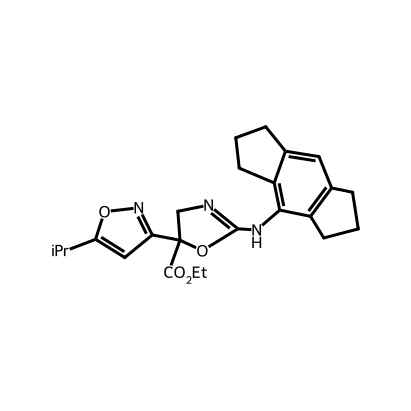 CCOC(=O)C1(c2cc(C(C)C)on2)CN=C(Nc2c3c(cc4c2CCC4)CCC3)O1